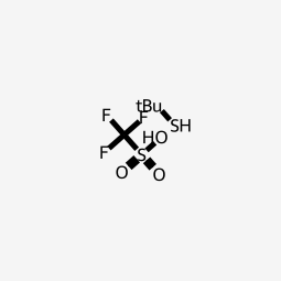 CC(C)(C)S.O=S(=O)(O)C(F)(F)F